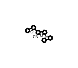 N#Cc1cc(-c2cccc3c2oc2ccccc23)cc2c1oc1c(-n3c4ccccc4c4ccccc43)cccc12